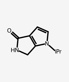 CC(C)n1ccc2c1CNC2=O